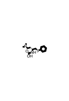 CN(C)CC[C@H](CSc1ccccc1)NC(=O)O